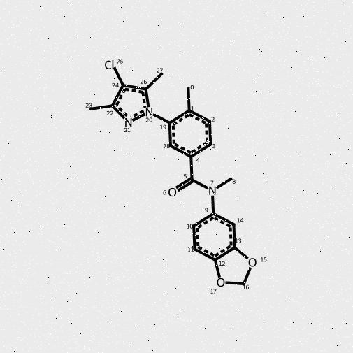 Cc1ccc(C(=O)N(C)c2ccc3c(c2)OCO3)cc1-n1nc(C)c(Cl)c1C